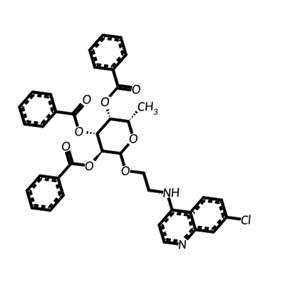 C[C@@H]1OC(OCCNc2ccnc3cc(Cl)ccc23)[C@@H](OC(=O)c2ccccc2)[C@H](OC(=O)c2ccccc2)[C@@H]1OC(=O)c1ccccc1